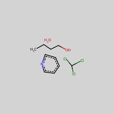 CCCCO.ClC(Cl)Cl.O.c1ccncc1